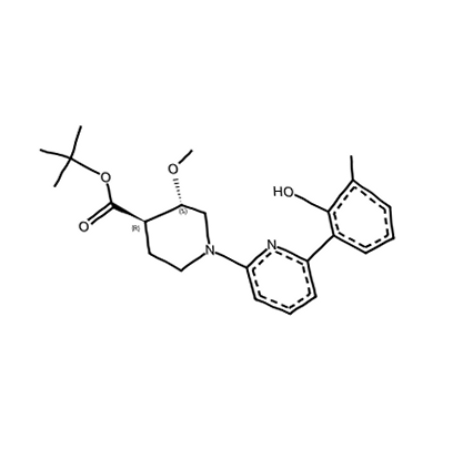 CO[C@@H]1CN(c2cccc(-c3cccc(C)c3O)n2)CC[C@H]1C(=O)OC(C)(C)C